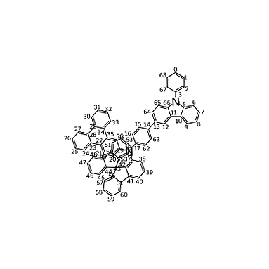 c1ccc(-n2c3ccccc3c3cc(-c4ccc(N(c5ccc6c7ccccc7c7ccccc7c6c5)c5cccc6c5C5(c7ccccc7-c7ccccc75)c5ccccc5-6)cc4)ccc32)cc1